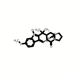 COc1ccc2c(c1)[N+]([O-])=C1C2=C[C@@]23NC(=O)[C@]4(CCCN4C2=O)CC3C1(C)C